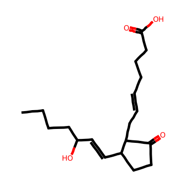 CCCCC(O)C=CC1CCC(=O)C1CC=CCCCC(=O)O